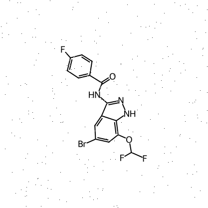 O=C(Nc1n[nH]c2c(OC(F)F)cc(Br)cc12)c1ccc(F)cc1